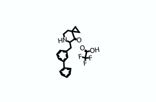 O=C(O)C(F)(F)F.O=C1C(Cc2cccc(-c3ccccc3)c2)NCCC12CC2